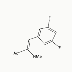 CN/C(=C\c1cc(F)cc(F)c1)C(C)=O